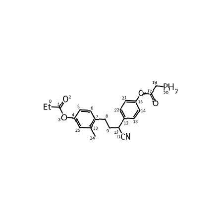 CCC(=O)Oc1ccc(CCC(C#N)c2ccc(OC(=O)CP)cc2)c(C)c1